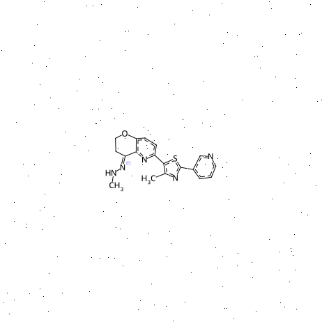 CN/N=C1\CCOc2ccc(-c3sc(-c4cccnc4)nc3C)nc21